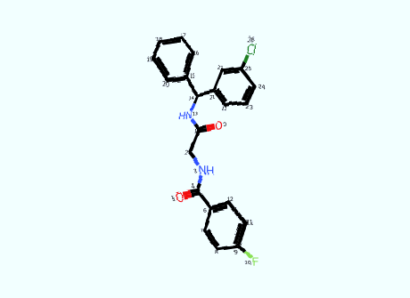 O=C(CNC(=O)c1ccc(F)cc1)NC(c1ccccc1)c1cccc(Cl)c1